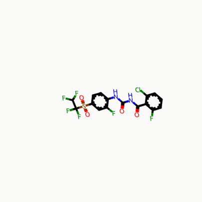 O=C(NC(=O)c1c(F)cccc1Cl)Nc1ccc(S(=O)(=O)C(F)(F)C(F)F)cc1F